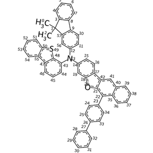 CC1(C)c2ccccc2-c2ccc(N(c3ccc4c(c3)oc3c(-c5ccc(-c6ccccc6)cc5)c5ccccc5cc34)c3cccc4c3sc3ccccc34)cc21